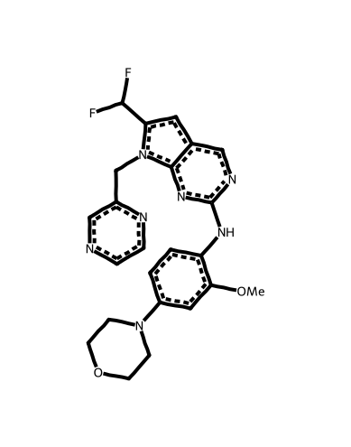 COc1cc(N2CCOCC2)ccc1Nc1ncc2cc(C(F)F)n(Cc3cnccn3)c2n1